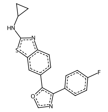 Fc1ccc(-c2ncoc2-c2ccc3nc(NC4CC4)sc3c2)cc1